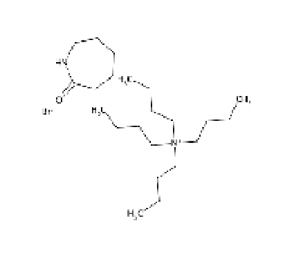 CCCC[N+](CCCC)(CCCC)CCCC.O=C1CCCCCN1.[Br-]